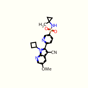 COc1cnc2c(c1)c(C#N)c(-c1ccc(S(=O)(=O)NC3(C)CC3)cn1)n2C1CCC1